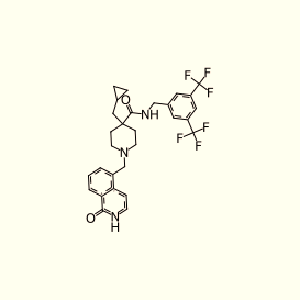 O=C(NCc1cc(C(F)(F)F)cc(C(F)(F)F)c1)C1(CC2CC2)CCN(Cc2cccc3c(=O)[nH]ccc23)CC1